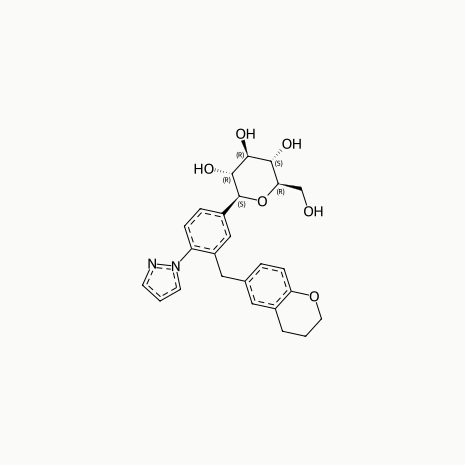 OC[C@H]1O[C@@H](c2ccc(-n3cccn3)c(Cc3ccc4c(c3)CCCO4)c2)[C@H](O)[C@@H](O)[C@@H]1O